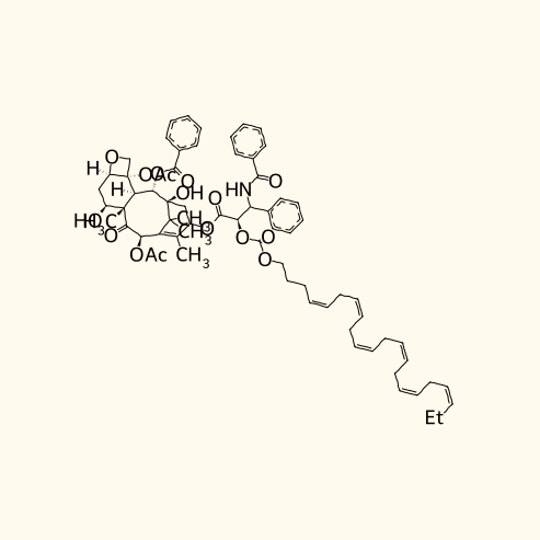 CC/C=C\C/C=C\C/C=C\C/C=C\C/C=C\C/C=C\CCCOC(=O)O[C@@H](C(=O)OC1C[C@@]2(O)[C@@H](OC(=O)c3ccccc3)[C@@H]3[C@]4(OC(C)=O)CO[C@@H]4C[C@H](O)[C@@]3(C)C(=O)[C@H](OC(C)=O)C(=C1C)C2(C)C)C(NC(=O)c1ccccc1)c1ccccc1